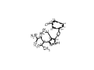 CCc1c(C(NC(N)=O)C(C)C)n[nH]c1Oc1cccc(Cl)c1